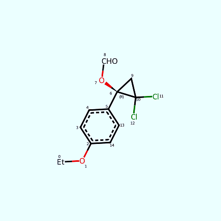 CCOc1ccc([C@]2(OC=O)CC2(Cl)Cl)cc1